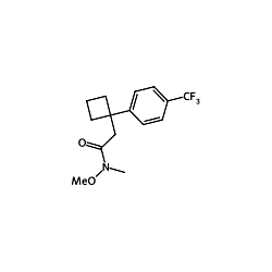 CON(C)C(=O)CC1(c2ccc(C(F)(F)F)cc2)CCC1